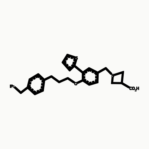 CC(C)Cc1ccc(CCCOc2ccc(CN3CC(C(=O)O)C3)cc2-c2cccs2)cc1